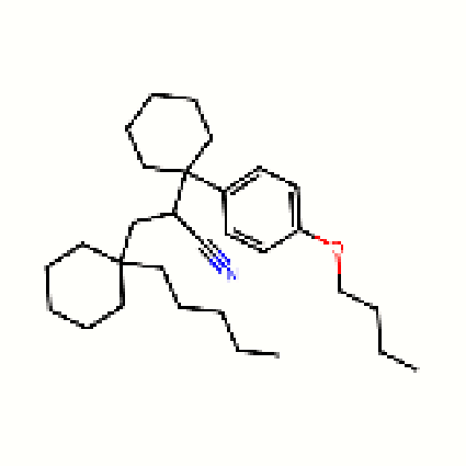 CCCCCC1(CC(C#N)C2(c3ccc(OCCCC)cc3)CCCCC2)CCCCC1